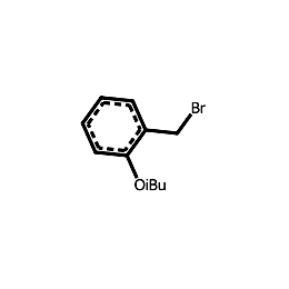 CC(C)COc1ccccc1CBr